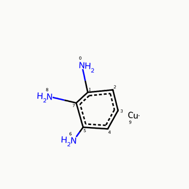 Nc1cccc(N)c1N.[Cu]